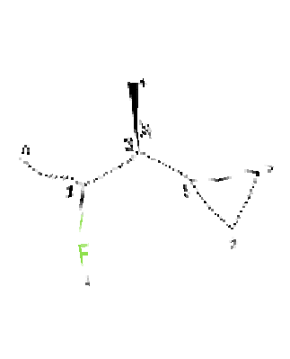 CC(F)[C@@H](C)C1CC1